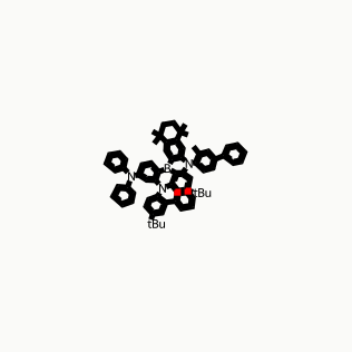 Cc1cc(-c2ccccc2)ccc1N1c2cc3c(cc2B2c4ccc(N(c5ccccc5)c5ccccc5)cc4N(c4ccc(C(C)(C)C)cc4-c4ccccc4)c4cc(C(C)(C)C)cc1c42)C(C)(C)CCC3(C)C